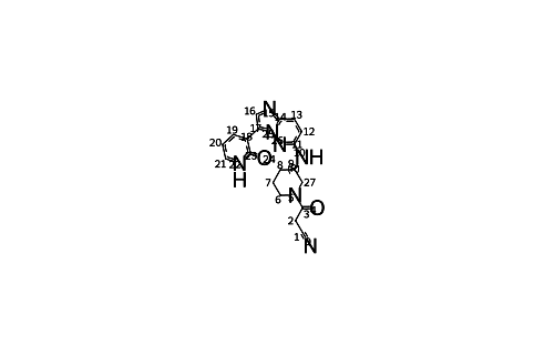 N#CCC(=O)N1CCC[C@@H](Nc2ccc3ncc(-c4ccc[nH]c4=O)n3n2)C1